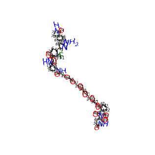 Nc1ncc(-c2ccc(S(=O)(=O)Nc3cccc(NC(=O)CCOCCOCCOCCOCCOCCOc4cccc5c4C(=O)N(C4CCC(=O)NC4=O)C5=O)c3)cc2F)cc1-c1ccc2c(c1)CCNC2=O